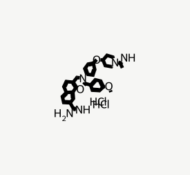 COc1ccc(C(=O)N(Cc2ccc3ccc(C(=N)N)cc3c2)c2ccc(OC3CCN(C(C)=N)CC3)cc2)cc1.Cl.Cl